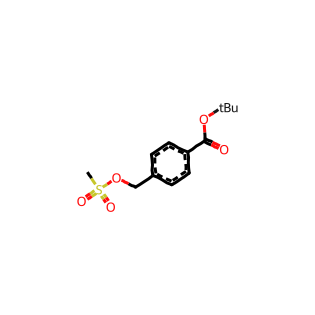 CC(C)(C)OC(=O)c1ccc(COS(C)(=O)=O)cc1